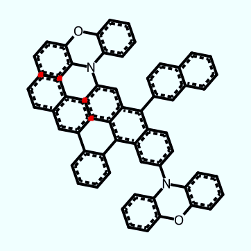 c1ccc2c(c1)Oc1ccccc1N2c1ccc2c(-c3ccccc3-c3ccc4ccccc4c3)c3cc(N4c5ccccc5Oc5ccccc54)ccc3c(-c3ccc4ccccc4c3)c2c1